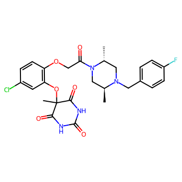 C[C@@H]1CN(Cc2ccc(F)cc2)[C@@H](C)CN1C(=O)COc1ccc(Cl)cc1OC1(C)C(=O)NC(=O)NC1=O